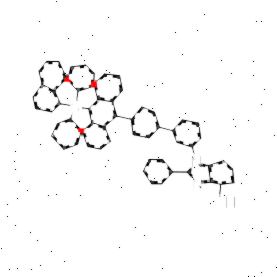 Cc1cccc2c1nc(-c1ccccc1)n2-c1cccc(-c2ccc(-c3c4ccccc4c([Si](c4ccccc4)(c4ccccc4)c4cccc5ccccc45)c4ccccc34)cc2)c1